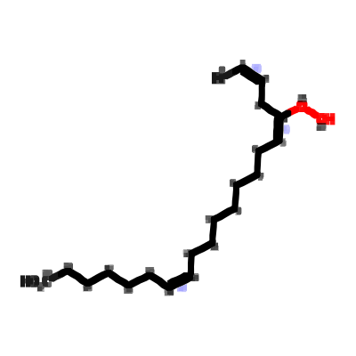 CC/C=C\C/C(=C\CCCCCCC/C=C\CCCCCC(=O)O)OO